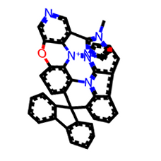 Cn1c2[n+](c3ccccc31)[N+]13c4c(cncc4-2)Oc2ccc4c(c21)-n1c2c(cccc2c2ccc[n+]3c21)C41c2ccccc2-c2ccccc21